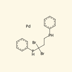 BrC(Br)(CCPc1ccccc1)Pc1ccccc1.[Pd]